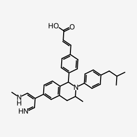 CN/C=C(\C=N)c1ccc2c(c1)CC(C)N(c1ccc(CC(C)C)cc1)C2c1ccc(/C=C/C(=O)O)cc1